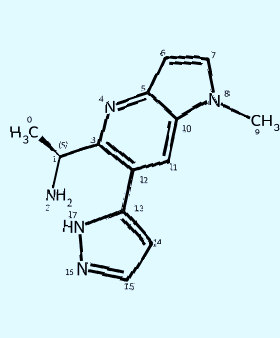 C[C@H](N)c1nc2ccn(C)c2cc1-c1ccn[nH]1